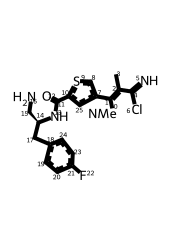 CN/C(=C(/C)C(=N)Cl)c1csc(C(=O)N[C@H](CN)Cc2ccc(F)cc2)c1